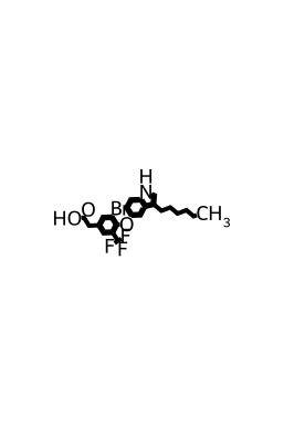 CCCCCCc1c[nH]c2ccc(Oc3c(Br)cc(CC(=O)O)cc3C(F)(F)F)cc12